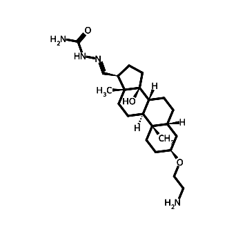 C[C@]12CC[C@H](OCCN)C[C@H]1CC[C@@H]1[C@@H]2CC[C@]2(C)[C@@H](/C=N/NC(N)=O)CC[C@]12O